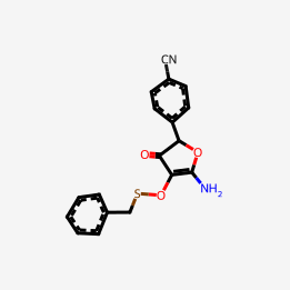 N#Cc1ccc(C2OC(N)=C(OSCc3ccccc3)C2=O)cc1